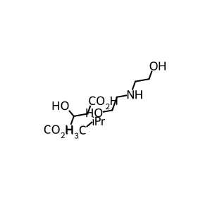 CC(C)C.O=C(O)CC(O)C(=O)O.OCCNCCO